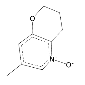 Cc1cc2c([n+]([O-])c1)CCCO2